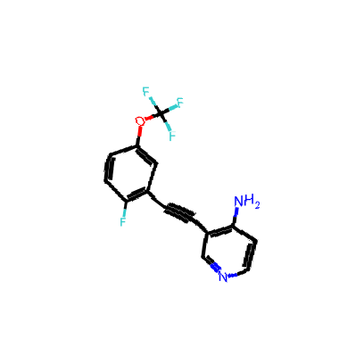 Nc1ccncc1C#Cc1cc(OC(F)(F)F)ccc1F